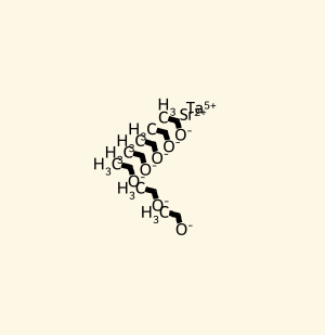 CC[O-].CC[O-].CC[O-].CC[O-].CC[O-].CC[O-].CC[O-].[Sr+2].[Ta+5]